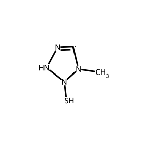 CN1[C]=NNN1S